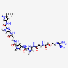 Cn1cc(NC(=O)c2nc(NC(=O)CCNC(=O)c3cc(NC(=O)c4nc(NC(=O)CCNC(=O)COCCN=C(N)N)cn4C)cn3C)cn2C)cc1C(=O)O